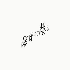 N[C@H]1CCCC[C@@H]1C(=O)N[C@H]1CC[C@@H](CC(=O)NCc2cccc(OC(F)(F)F)c2)CC1